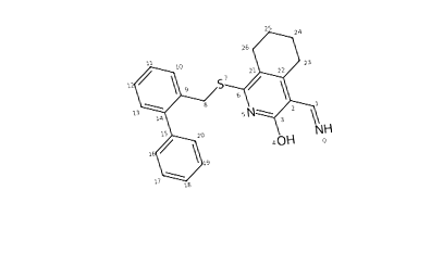 N=Cc1c(O)nc(SCc2ccccc2-c2ccccc2)c2c1CCCC2